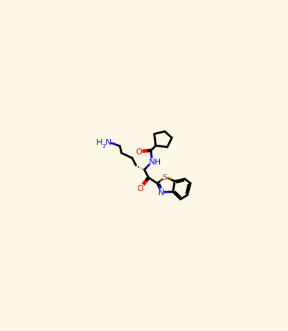 NCCCC[C@H](NC(=O)C1CCCC1)C(=O)c1nc2ccccc2s1